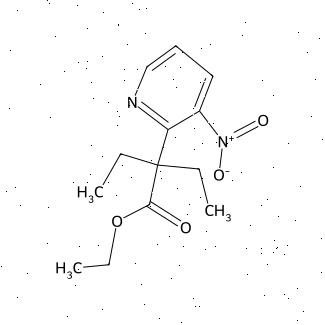 CCOC(=O)C(CC)(CC)c1ncccc1[N+](=O)[O-]